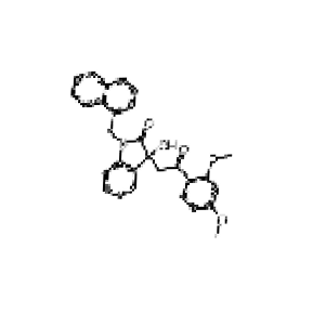 COc1ccc(C(=O)CC2(O)C(=O)N(Cc3cccc4ccccc34)c3ccccc32)c(OC)c1